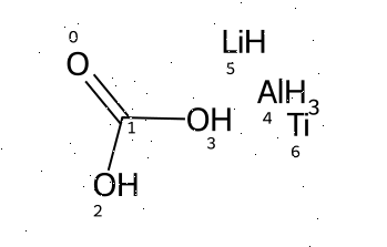 O=C(O)O.[AlH3].[LiH].[Ti]